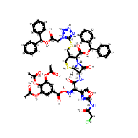 CC(=O)Oc1cc(C(=O)O/N=C(\C(=O)N[C@@H]2C(=O)N3C(C(=O)OC(c4ccccc4)c4ccccc4)=C(CSc4nnnn4CC(=O)OC(c4ccccc4)c4ccccc4)CS[C@H]23)c2coc(NC(=O)CCl)n2)cc(OC(C)=O)c1OC(C)=O